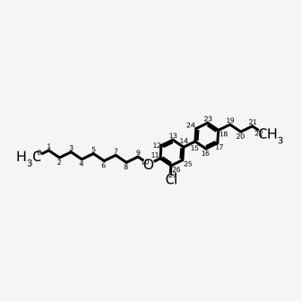 CCCCCCCCCCOc1ccc(-c2ccc(CCCC)cc2)cc1Cl